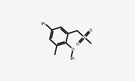 Cc1cc(C(C)C)cc(CS(C)(=O)=O)c1OC(C)C